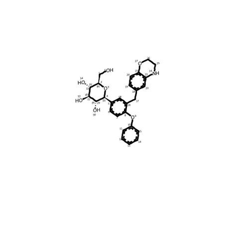 OC[C@H]1O[C@@H](c2ccc(Oc3ccccc3)c(Cc3ccc4c(c3)NCCO4)c2)[C@H](O)[C@@H](O)[C@@H]1O